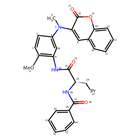 COc1ccc(N(C)c2cc3ccccc3oc2=O)cc1NC(=O)[C@H](CC(C)C)NC(=O)c1ccccc1